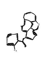 C=C(c1ccccc1CC)c1ccc2oc3cccc4ccc1c2c43